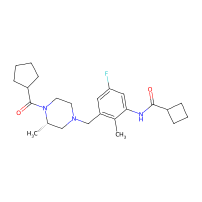 Cc1c(CN2CCN(C(=O)C3CCCC3)[C@@H](C)C2)cc(F)cc1NC(=O)C1CCC1